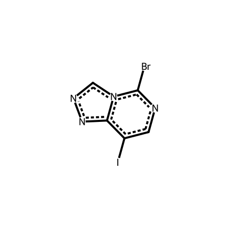 Brc1ncc(I)c2nncn12